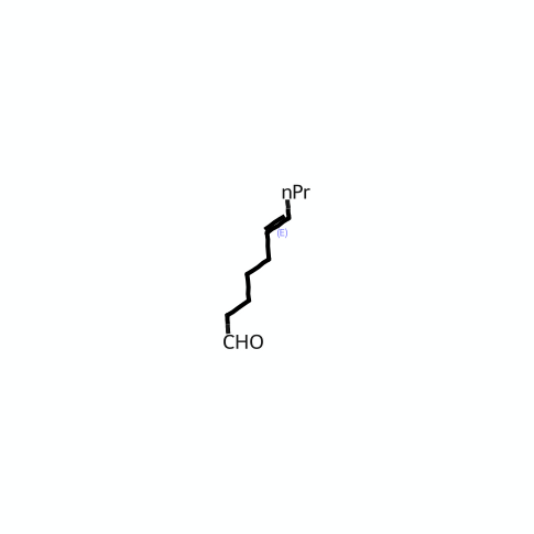 CCC/C=C/CCCCC=O